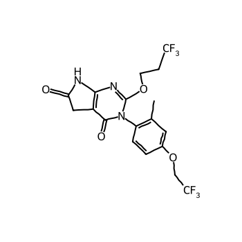 Cc1cc(OCC(F)(F)F)ccc1-n1c(OCCC(F)(F)F)nc2c(c1=O)CC(=O)N2